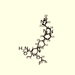 CCN1C(C(N)=O)=CC(N2CCC(c3ccc4ncc(-c5cnn(C)c5)nc4c3)CC2)=NC1OCC(C)F